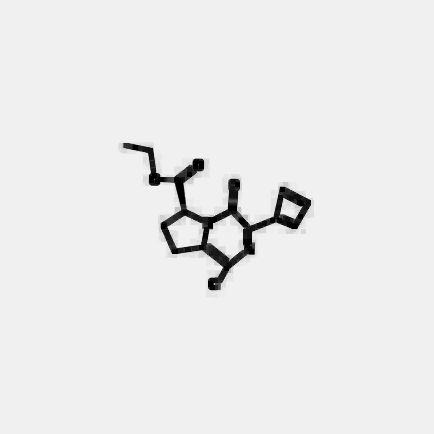 CCOC(=O)[C@@H]1CCc2c(Cl)nc(C3=CC=C3)c(=O)n21